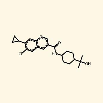 CC(C)(O)C1CCC(NC(=O)c2cnc3cc(C4CC4)c(Cl)cc3c2)CC1